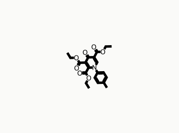 CCOC(=O)c1cn(-c2ccc(C)cc2)c(C(=O)OCC)c(C(=O)OCC)c1=O